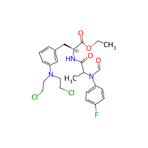 CCOC(=O)[C@H](Cc1cccc(N(CCCl)CCCl)c1)NC(=O)C(C)N(C=O)c1ccc(F)cc1